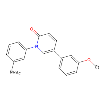 CCOc1cccc(-c2ccc(=O)n(-c3cccc(NC(C)=O)c3)c2)c1